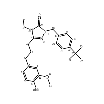 CCn1c(CCCc2ccc(Br)c(OC)c2)nn(Cc2ccc(C(C)(C)C)cc2)c1=O